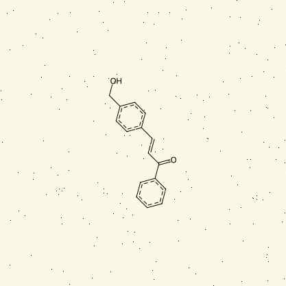 O=C(/C=C/c1ccc(CO)cc1)c1ccccc1